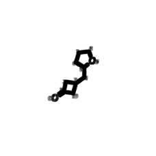 O=C1CC(CC2CCCO2)C1